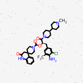 CN1CCC(C2CCN(C(=O)[C@@H](Cc3cc(Cl)c(N)c(C(F)(F)F)c3)OC(=O)N3CCC4(CC3)CC(=O)Nc3ccccc34)CC2)CC1